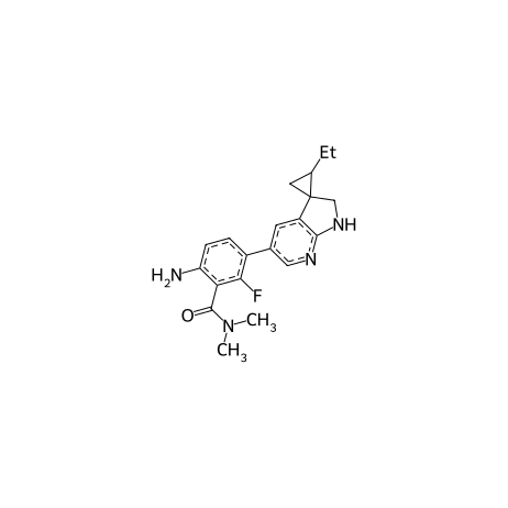 CCC1CC12CNc1ncc(-c3ccc(N)c(C(=O)N(C)C)c3F)cc12